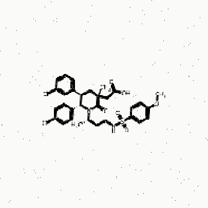 COc1ccc(S(=O)(=O)NCC[C@H](C)N2C(=O)[C@@](C)(CC(=O)O)C[C@H](c3cccc(Cl)c3)[C@H]2c2ccc(Cl)cc2)cc1